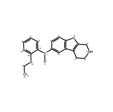 [O-][S+](c1ccc2oc3c(c2c1)CCNC3)c1cccnc1OCC(F)(F)F